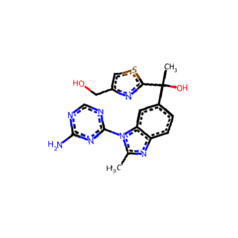 Cc1nc2ccc(C(C)(O)c3nc(CO)cs3)cc2n1-c1ncnc(N)n1